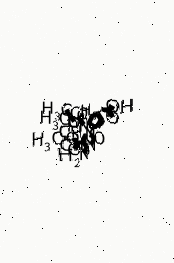 CC(C)(C)OC(=O)N[C@@H]1C[C@H](CC(=O)O)CC[C@H]1n1cc(C(=O)OC(C)(C)C)c(N)nc1=O